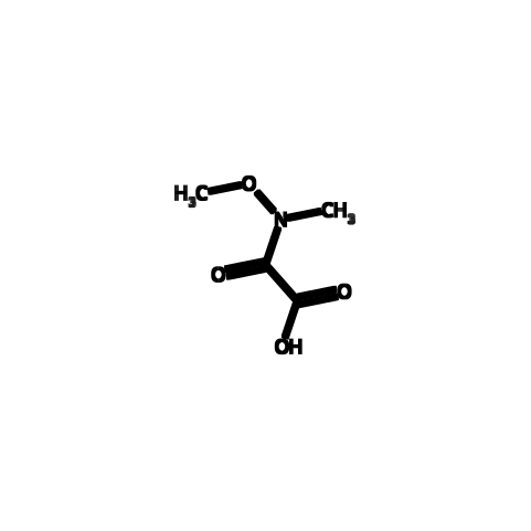 CON(C)C(=O)C(=O)O